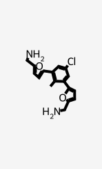 Cc1c(-c2ccc(CN)o2)cc(Cl)cc1-c1ccc(CN)o1